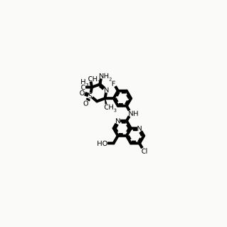 CC1(C)C(N)=N[C@](C)(c2cc(Nc3ncc(CO)c4cc(Cl)cnc34)ccc2F)CS1(=O)=O